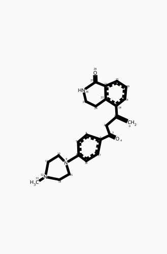 C=C(CC(=O)c1ccc(N2CCN(C)CC2)cc1)c1cccc2c1CCNC2=O